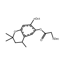 CCCCCCCCCCCC(=O)Oc1cc2c(cc1CCCCCCCC)OC(C)(C)CC2C